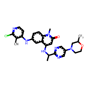 CC(Nc1cc(=O)n(C)c2ccc(Nc3ccnc(Cl)c3C#N)cc12)c1ncc(N2CCOC(C(F)(F)F)C2)cn1